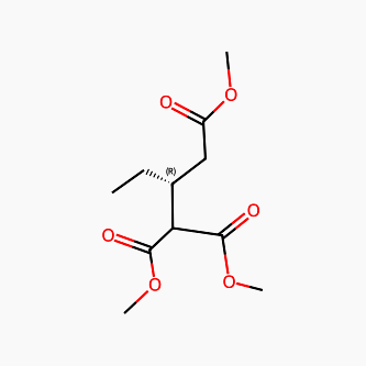 CC[C@H](CC(=O)OC)C(C(=O)OC)C(=O)OC